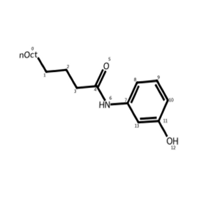 CCCCCCCCCCCC(=O)Nc1cccc(O)c1